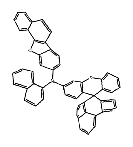 c1ccc2c(c1)Sc1cc(N(c3ccc4c(c3)oc3c5ccccc5ccc43)c3cccc4ccccc34)ccc1C21c2ccccc2-c2cccc3cccc1c23